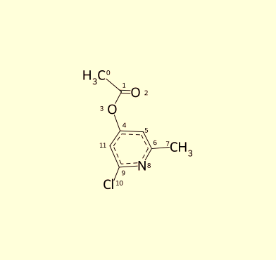 CC(=O)Oc1cc(C)nc(Cl)c1